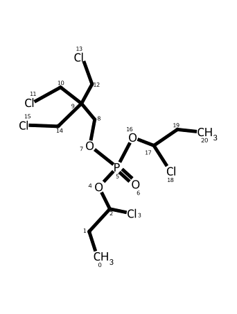 CCC(Cl)OP(=O)(OCC(CCl)(CCl)CCl)OC(Cl)CC